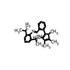 CC1=C(C)C(C)C(c2ccccc2C=Nc2c(C(C)C)cccc2C(C)C)=C1C